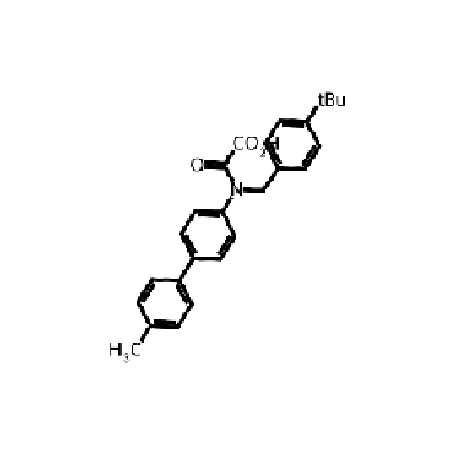 Cc1ccc(-c2ccc(N(Cc3ccc(C(C)(C)C)cc3)C(=O)C(=O)O)cc2)cc1